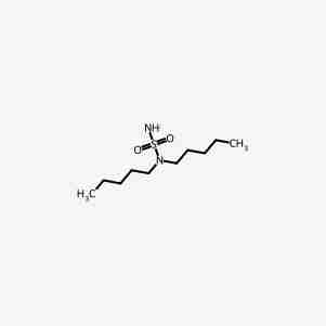 CCCCCN(CCCCC)S([NH])(=O)=O